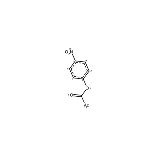 CC(=O)C(=O)Oc1ccc([N+](=O)[O-])cc1